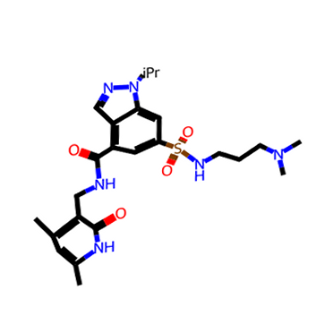 Cc1cc(C)c(CNC(=O)c2cc(S(=O)(=O)NCCCN(C)C)cc3c2cnn3C(C)C)c(=O)[nH]1